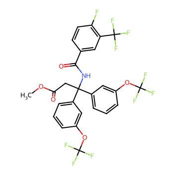 COC(=O)CC(NC(=O)c1ccc(F)c(C(F)(F)F)c1)(c1cccc(OC(F)(F)F)c1)c1cccc(OC(F)(F)F)c1